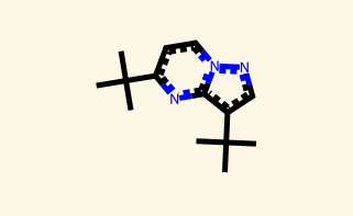 CC(C)(C)c1ccn2ncc(C(C)(C)C)c2n1